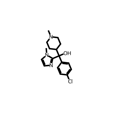 CN1CCC(C(O)(c2ccc(Cl)cc2)c2nccn2C)CC1